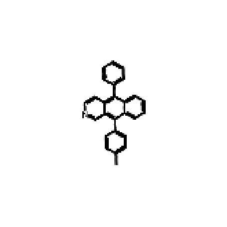 Cc1ccc(-c2c3ccccc3c(-c3ccccc3)c3ccncc23)cc1